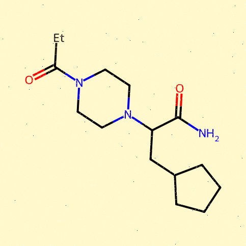 CCC(=O)N1CCN(C(CC2CCCC2)C(N)=O)CC1